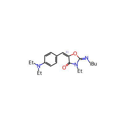 CCC(C)N=C1O/C(=C/c2ccc(N(CC)CC)cc2)C(=O)N1CC